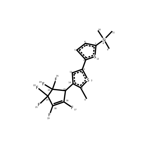 Cc1sc(-c2ccc([Si](C)(C)C)s2)cc1C1C(F)=C(F)C(F)(F)C1(F)F